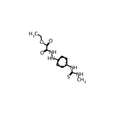 CCOC(=O)C(=O)NNc1ccc(NC(=S)NC)cc1